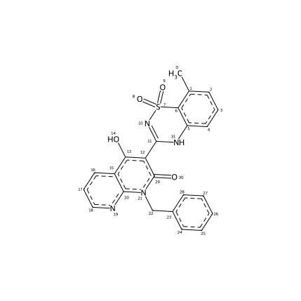 Cc1cccc2c1S(=O)(=O)N=C(c1c(O)c3cccnc3n(Cc3ccccc3)c1=O)N2